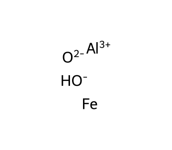 [Al+3].[Fe].[O-2].[OH-]